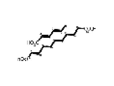 CC=CC=CC(=O)O.CCCCCCCCC=CCCCCCCCC(=O)O